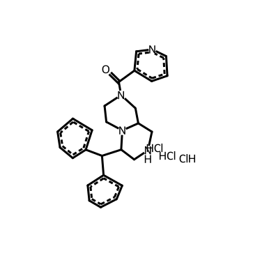 Cl.Cl.Cl.O=C(c1cccnc1)N1CCN2C(CNCC2C(c2ccccc2)c2ccccc2)C1